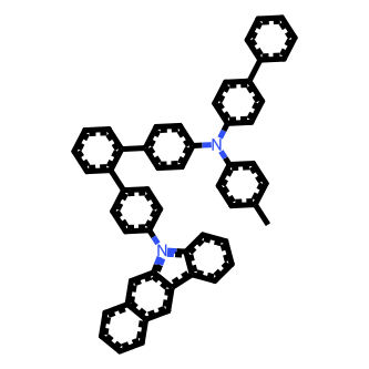 Cc1ccc(N(c2ccc(-c3ccccc3)cc2)c2ccc(-c3ccccc3-c3ccc(-n4c5ccccc5c5cc6ccccc6cc54)cc3)cc2)cc1